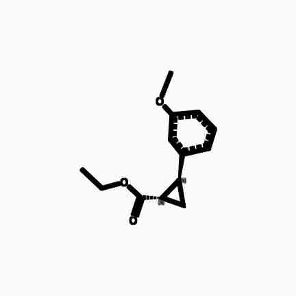 CCOC(=O)[C@H]1C[C@@H]1c1cccc(OC)c1